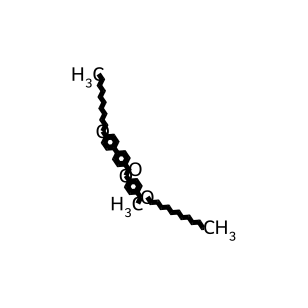 CCCCCCCCCCCCOC(C)c1ccc(OC(=O)c2ccc(-c3ccc(OCCCCCCCCCC)cc3)cc2)cc1